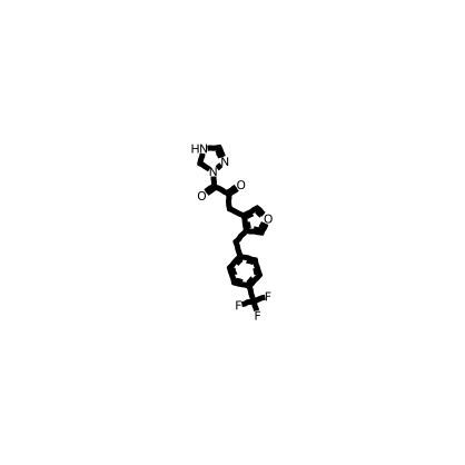 O=C(Cc1cocc1Cc1ccc(C(F)(F)F)cc1)C(=O)N1CNC=N1